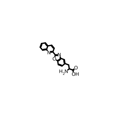 NC(Cc1ccc2oc(-c3ccc4ccccc4n3)nc2c1)C(=O)O